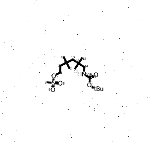 CC(C)(CCOS(C)(=O)=O)CC(C)(C)CNC(=O)OC(C)(C)C